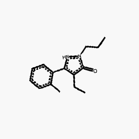 CCCn1[nH]c(-c2ccccc2C)c(CC)c1=O